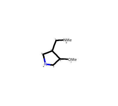 CNCC1C[N]CC1OC